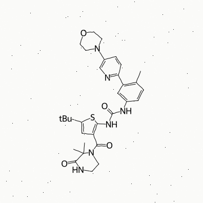 Cc1ccc(NC(=O)Nc2sc(C(C)(C)C)cc2C(=O)N2CCNC(=O)C2(C)C)cc1-c1ccc(N2CCOCC2)cn1